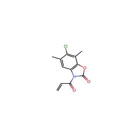 C=CC(=O)n1c(=O)oc2c(C)c(Cl)c(C)cc21